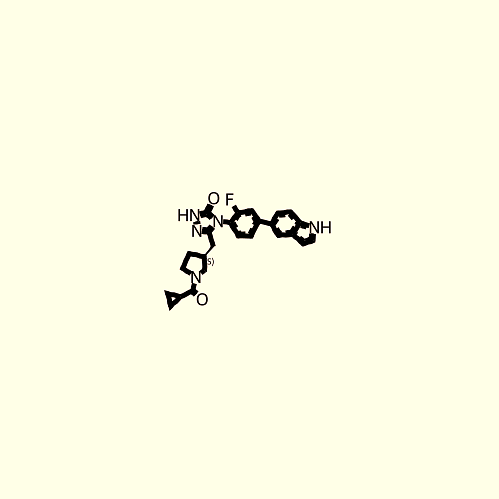 O=C(C1CC1)N1CC[C@@H](Cc2n[nH]c(=O)n2-c2ccc(-c3ccc4[nH]ccc4c3)cc2F)C1